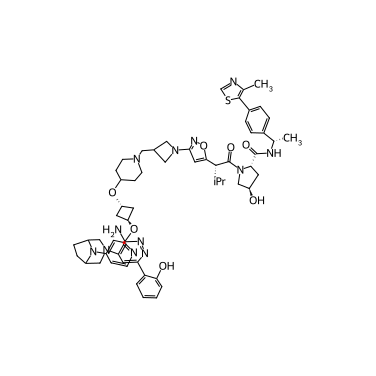 Cc1ncsc1-c1ccc([C@H](C)NC(=O)[C@@H]2C[C@@H](O)CN2C(=O)[C@@H](c2cc(N3CC(CN4CCC(O[C@H]5C[C@H](Oc6cc(N7C8CCC7CN(c7cc(-c9ccccc9O)nnc7N)C8)ccn6)C5)CC4)C3)no2)C(C)C)cc1